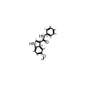 COc1ccc2[nH][c]c(C(=O)Nc3ccccc3)c2c1